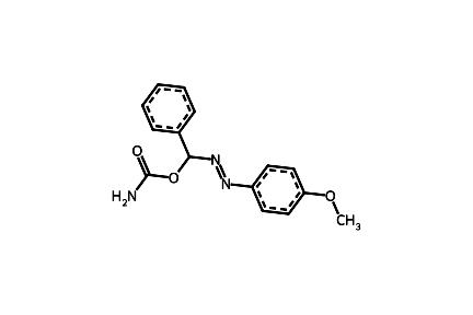 COc1ccc(N=NC(OC(N)=O)c2ccccc2)cc1